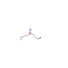 CCCCC/C=C\C/C=C\CCCCCCCCOc1cc(CN(CCO)CCN=O)cc(OCCCCCCCC/C=C\C/C=C\CCCCCC)c1